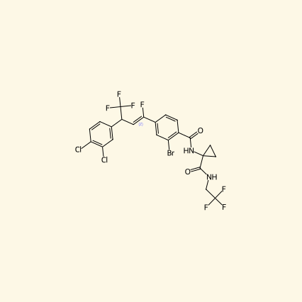 O=C(NC1(C(=O)NCC(F)(F)F)CC1)c1ccc(/C(F)=C/C(c2ccc(Cl)c(Cl)c2)C(F)(F)F)cc1Br